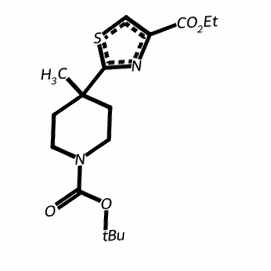 CCOC(=O)c1csc(C2(C)CCN(C(=O)OC(C)(C)C)CC2)n1